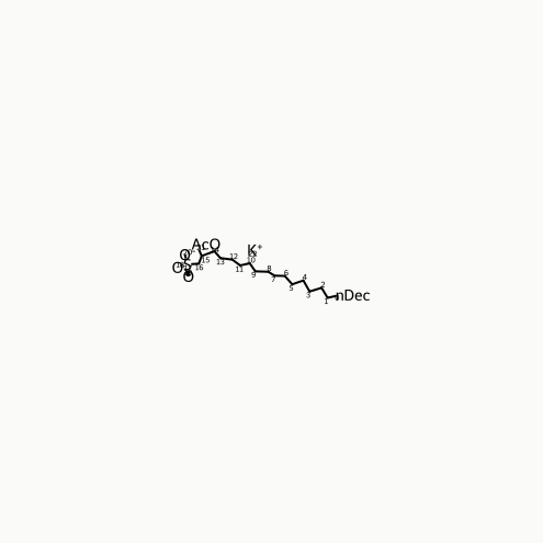 CCCCCCCCCCCCCCCCCCCCCCCCC(CS(=O)(=O)[O-])OC(C)=O.[K+]